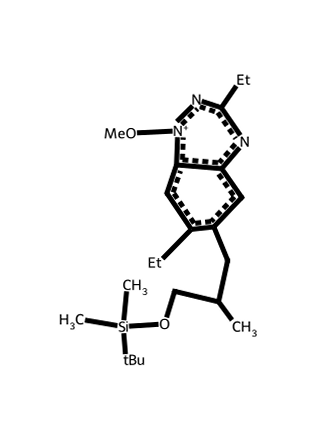 CCc1nc2cc(CC(C)CO[Si](C)(C)C(C)(C)C)c(CC)cc2[n+](OC)n1